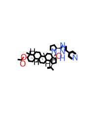 C=C(C)[C@@H]1CC[C@]2(C(=O)N3CCC[C@H]3c3ncc(-c4ccncc4)[nH]3)CC[C@]3(C)[C@H](CC[C@@H]4[C@@]5(C)CC[C@H](OC(C)=O)C(C)(C)[C@@H]5CC[C@]43C)[C@@H]12